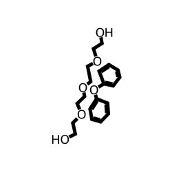 OCCOCCOCCOCCO.c1ccc(Oc2ccccc2)cc1